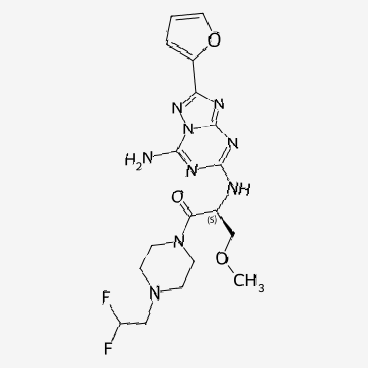 COC[C@H](Nc1nc(N)n2nc(-c3ccco3)nc2n1)C(=O)N1CCN(CC(F)F)CC1